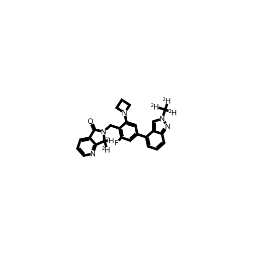 [2H]C1([2H])c2ncccc2C(=O)N1Cc1c(F)cc(-c2cccc3nn(C([2H])([2H])[2H])cc23)cc1N1CCC1